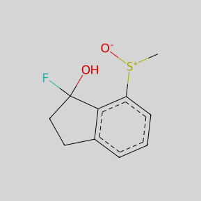 C[S+]([O-])c1cccc2c1C(O)(F)CC2